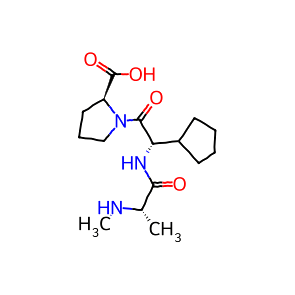 CN[C@@H](C)C(=O)N[C@H](C(=O)N1CCC[C@H]1C(=O)O)C1CCCC1